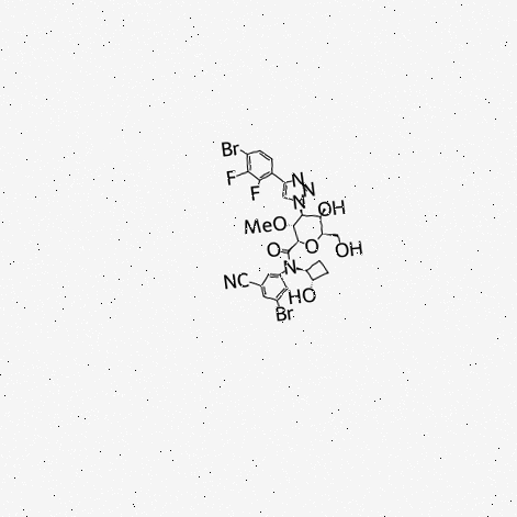 CO[C@@H]1[C@@H](n2cc(-c3ccc(Br)c(F)c3F)nn2)[C@@H](O)[C@@H](CO)O[C@H]1C(=O)N(c1cc(Br)cc(C#N)c1)[C@H]1CC[C@@H]1O